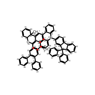 CC1C=CC2=C3C(=CC(c4ccccc4N(c4ccc(-c5ccc(-c6ccccc6)c(-c6ccccc6)c5)cc4)c4ccc5c(c4)C(c4ccccc4)(c4ccccc4)c4ccccc4-5)=CC31)C1(C)C=CC=CC1O2